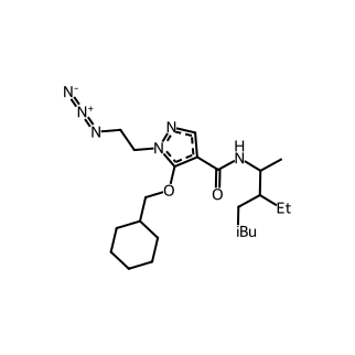 CCC(C)CC(CC)C(C)NC(=O)c1cnn(CCN=[N+]=[N-])c1OCC1CCCCC1